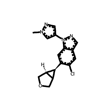 Cn1cc(-n2ncc3cc(Cl)c([C@H]4C5COC[C@H]54)cc32)cn1